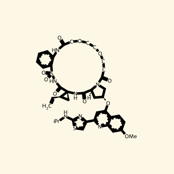 C=C[C@@H]1C[C@@]12NC(=O)[C@@H]1C[C@@H](Oc3cc(-c4csc(NC(C)C)n4)nc4cc(OC)ccc34)CN1C(=O)CCOCCOCC(=O)Nc1ccccc1S(=O)(=O)NC2=O